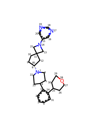 c1ccc(C2CCN([C@@H]3CCC4(C3)CN(c3cncnc3)C4)CC2)c(C2CCOCC2)c1